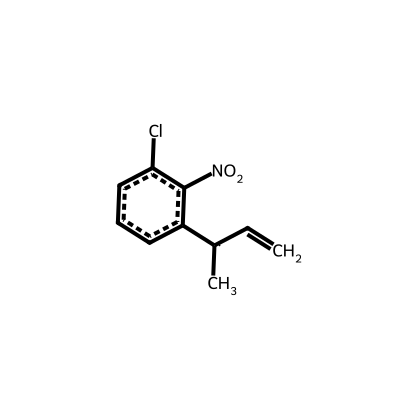 C=C[C](C)c1cccc(Cl)c1[N+](=O)[O-]